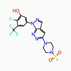 CS(=O)(=O)N1CCN(c2cc3cnn(-c4cc(O)c(F)c(C(F)(F)F)c4)c3nn2)CC1